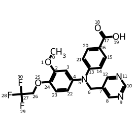 COc1cc(N(Cc2cncnc2)c2ccc(C(=O)O)cc2)ccc1OCC(F)(F)F